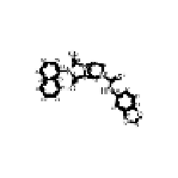 O=C1C2C3CC(CN3C(=S)Nc3ccc4c(c3)OCO4)N2C(=O)N1c1cccc2ccccc12